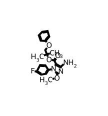 COc1nc(N)c(C(=O)OC(C)(C)COc2ccccc2)n1-c1ccc(F)cc1